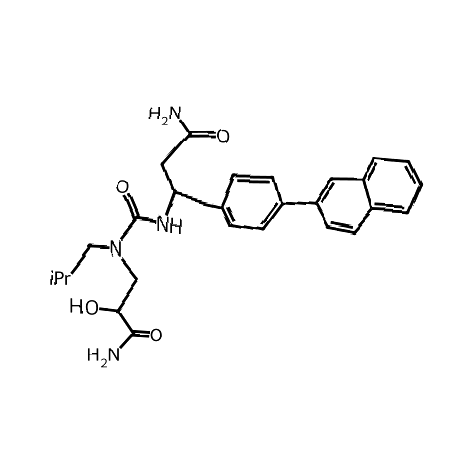 CC(C)CN(CC(O)C(N)=O)C(=O)NC(CC(N)=O)c1ccc(-c2ccc3ccccc3c2)cc1